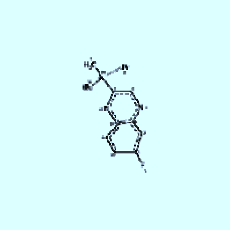 CC(C)[C@](C)(c1cnc2cc(F)ccc2n1)C(C)(C)C